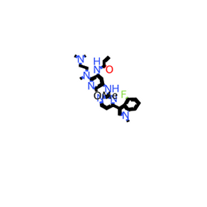 C=CC(=O)Nc1cc(Nc2nccc(-c3cn(C)c4cccc(F)c34)n2)c(OC)nc1N(C)CCN(C)C